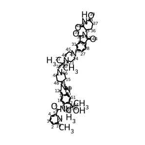 Cc1cccc(C(=O)Nc2cc3cn(C4CCN(CC(C)(C)N5CCN(c6ccc7c(c6)C(=O)N(C6CCC(=O)NC6=O)C7=O)CC5)CC4)nc3cc2C(C)(C)O)n1